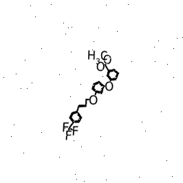 COC(=O)c1cccc(Oc2cccc(OC/C=C/c3ccc(C(F)(F)F)cc3)c2)c1